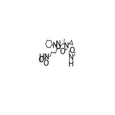 COC(=O)NCCCc1cc([C@@H](C)N(C(=O)[C@H]2CNCCO2)C2CC2)nn1C1CCCCC1